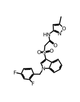 Cc1cc(NC(=O)CS(=O)(=O)c2cn(Cc3ccc(F)cc3F)c3ccccc23)no1